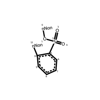 CCCCCCCCCOS(=O)(=O)c1ccccc1CCCCCCCCC